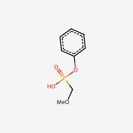 COCP(=O)(O)Oc1ccccc1